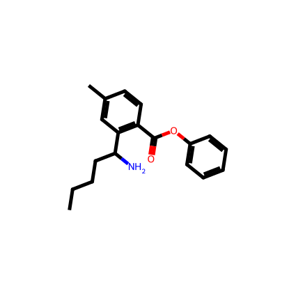 CCCCC(N)c1cc(C)ccc1C(=O)Oc1ccccc1